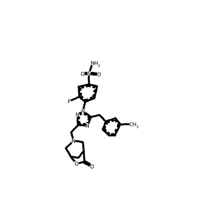 Cc1cccc(Cc2nc(CN3CC4CC(C3)C(=O)O4)nn2-c2ccc(S(N)(=O)=O)cc2F)c1